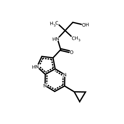 CC(C)(CO)NC(=O)c1c[nH]c2ncc(C3CC3)nc12